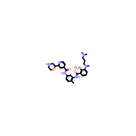 Cc1ccc(NC(=O)c2ccnc(C3CNCCO3)c2)cc1NC(=O)c1cccc(N(C)CCCN(C)C)c1[N+](=O)[O-]